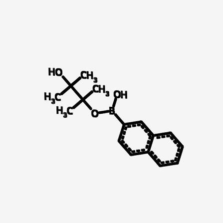 CC(C)(O)C(C)(C)OB(O)c1ccc2ccccc2c1